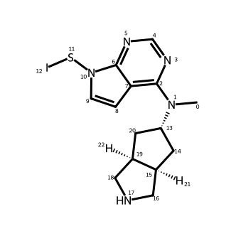 CN(c1ncnc2c1ccn2SI)[C@@H]1C[C@H]2CNC[C@H]2C1